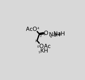 CC(=O)OCC(=O)OC(C)=O.[KH].[NaH].[NaH]